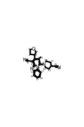 Cc1c(C2CCOC2)c(C#N)c2nc3ccccc3n2c1N1CCC(C#N)CC1